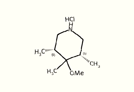 COC1(C)[C@H](C)CNC[C@@H]1C.Cl